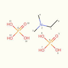 CCN(C)C.O=P(O)(O)O.O=P(O)(O)O